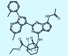 CCOC(=O)[C@@H]1C2CCC(CC2)[C@H]1Nc1nc(-c2cn(-c3ccccc3C)c3ncc(F)cc23)nn2c(NC(C)=O)ccc12